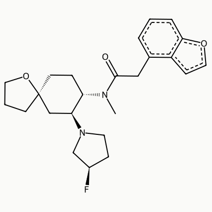 CN(C(=O)Cc1cccc2occc12)[C@H]1CC[C@@]2(CCCO2)C[C@@H]1N1CC[C@@H](F)C1